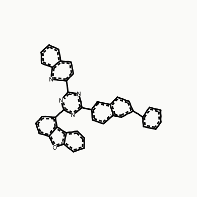 c1ccc(-c2ccc3cc(-c4nc(-c5ccc6ccccc6n5)nc(-c5cccc6oc7ccccc7c56)n4)ccc3c2)cc1